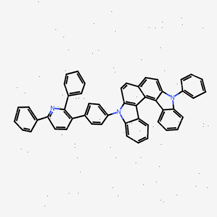 c1ccc(-c2ccc(-c3ccc(-n4c5ccccc5c5c6c(ccc7c6c6ccccc6n7-c6ccccc6)ccc54)cc3)c(-c3ccccc3)n2)cc1